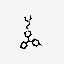 CCN(CC)CCN1CCC(C(c2ccccc2)c2ccc(Cl)cc2)CC1